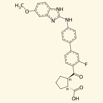 COc1ccc2[nH]c(Nc3ccc(-c4ccc(C(=O)[C@@H]5CCC[C@H]5C(=O)O)c(F)c4)cc3)nc2c1